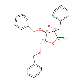 O[C@@]1(Cc2ccccc2)[C@H](OCc2ccccc2)[C@@H](COCc2ccccc2)O[C@@H]1Cl